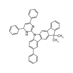 CC1(C)c2ccccc2-c2cc3c(cc21)c1cc(-c2ccccc2)ccc1n3C1=NC(c2ccccc2)=CC(c2ccccc2)N1